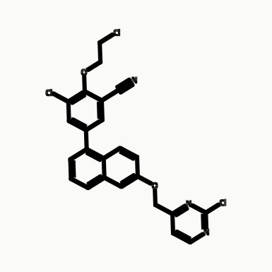 N#Cc1cc(-c2cccc3cc(OCc4ccnc(Cl)n4)ccc23)cc(Cl)c1OCCCl